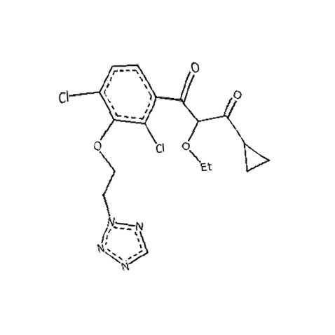 CCOC(C(=O)c1ccc(Cl)c(OCCn2ncnn2)c1Cl)C(=O)C1CC1